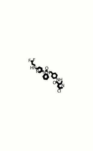 Cc1ncc(Cl)cc1C(=O)NC1CCC(Cn2c(=O)n(-c3ccc(NCCC(F)F)nc3)c3ccccc32)CC1